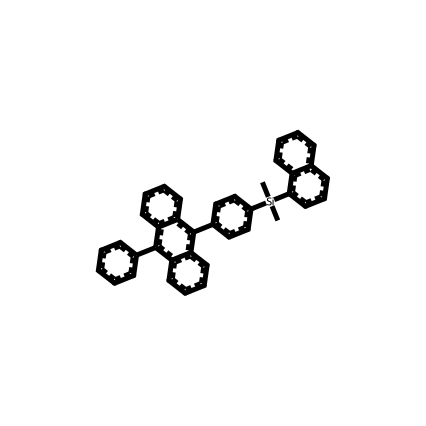 C[Si](C)(c1ccc(-c2c3ccccc3c(-c3ccccc3)c3ccccc23)cc1)c1cccc2ccccc12